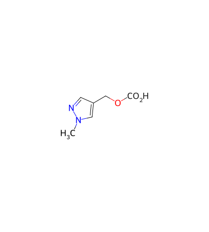 Cn1cc(COC(=O)O)cn1